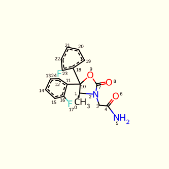 C[C@@H]1N(CC(N)=O)C(=O)OC1(c1ccccc1F)c1ccccc1F